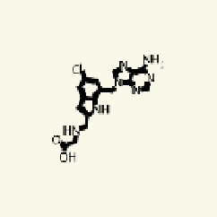 Nc1ncnc2c1ncn2Cc1cc(Cl)cc2cc(CNCC(=O)O)[nH]c12